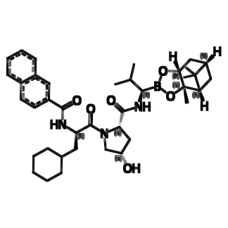 CC(C)[C@H](NC(=O)[C@@H]1C[C@H](O)CN1C(=O)[C@@H](CC1CCCCC1)NC(=O)c1ccc2ccccc2c1)B1O[C@@H]2C[C@@H]3C[C@@H](C3(C)C)[C@]2(C)O1